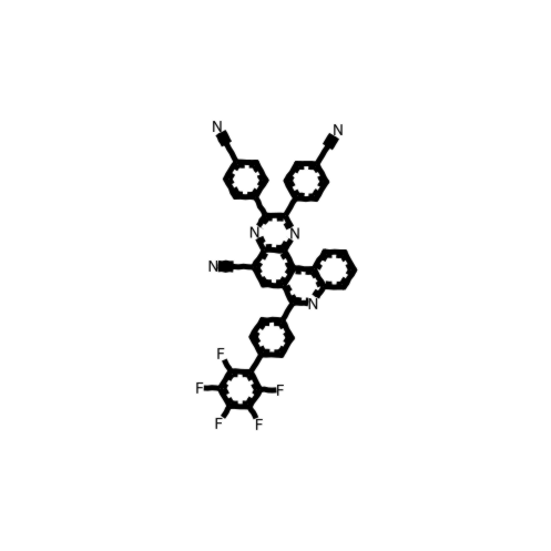 N#Cc1ccc(-c2nc3c(C#N)cc4c(-c5ccc(-c6c(F)c(F)c(F)c(F)c6F)cc5)nc5ccccc5c4c3nc2-c2ccc(C#N)cc2)cc1